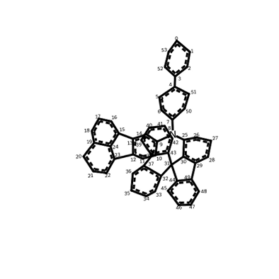 c1ccc(-c2ccc(N(c3ccc4c(c3)-c3cccc5cccc-4c35)c3cccc4c3C3(c5ccccc5-c5ccccc53)c3ccccc3-4)cc2)cc1